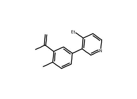 C=C(C)c1cc(-c2cnccc2CC)ccc1C